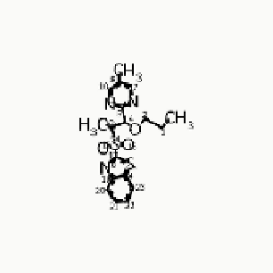 CCCO[C@H](c1ncc(C)cn1)[C@@H](C)S(=O)(=O)c1nc2ccccc2s1